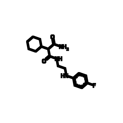 NC(=O)C(C(=O)NCCNc1ccc(F)cc1)C1CCCCC1